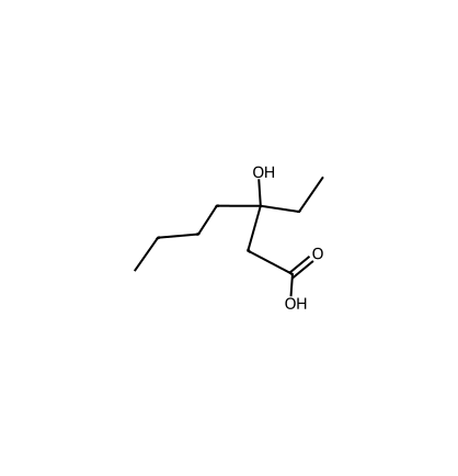 CCCCC(O)(CC)CC(=O)O